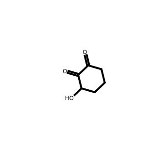 O=C1CCCC(O)C1=O